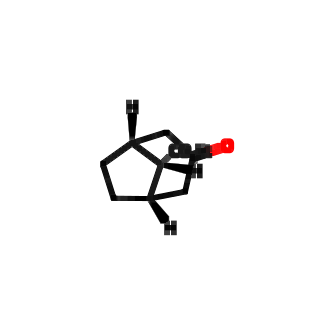 CCOC(=O)[C@H]1[C@@H]2CC[C@H]1CC(=O)C2